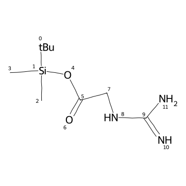 CC(C)(C)[Si](C)(C)OC(=O)CNC(=N)N